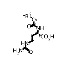 CC(C)(C)OC(=O)N[C@@H](CCNC(N)=O)C(=O)O